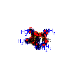 CC[C@H]1O[C@@H](n2cnc3c(N)ncnc32)CC1OP(=O)(S)OC[C@H]1O[C@@H](n2cnc3c(N)ncnc32)CC1OP(=O)(S)OC[C@H]1O[C@@H](n2cnc3c(N)ncnc32)CC1OP(=O)(S)OC[C@H]1O[C@@H](n2cnc3c(=O)[nH]c(N)nc32)CC1OP(=O)(S)OC[C@H]1O[C@@H](n2cnc3c(N)ncnc32)CC1OP(=O)(S)OC[C@H]1O[C@@H](n2cnc3c(N)ncnc32)CC1OP(=O)(S)OC